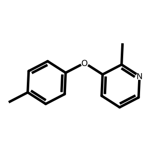 Cc1ccc(Oc2cccnc2C)cc1